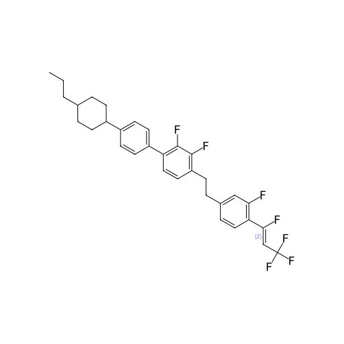 CCCC1CCC(c2ccc(-c3ccc(CCc4ccc(/C(F)=C/C(F)(F)F)c(F)c4)c(F)c3F)cc2)CC1